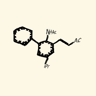 CC(=O)/C=C/c1cc(C(C)C)cc(-c2ccccc2)c1NC(C)=O